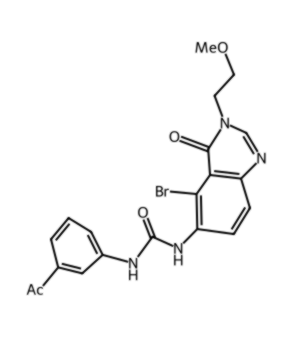 COCCn1cnc2ccc(NC(=O)Nc3cccc(C(C)=O)c3)c(Br)c2c1=O